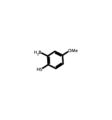 Bc1cc(OC)ccc1S